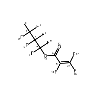 CC(F)(F)C(F)(F)C(F)(F)OC(=O)C(F)=C(F)F